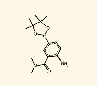 CN(C)C(=O)c1cc(P2OC(C)(C)C(C)(C)O2)ccc1N